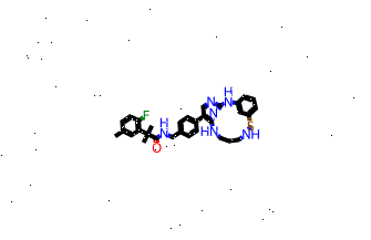 Cc1ccc(F)c(C(C)(C)C(=O)NCc2ccc(-c3cnc4nc3NCCCNSc3cccc(c3)N4)cc2)c1